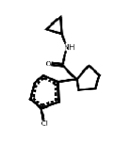 O=C(NC1CC1)C1(c2cccc(Cl)c2)CCCC1